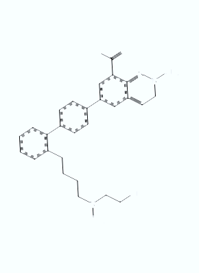 CCCN(C)CCCCc1ccccc1-c1ccc(-c2cc(C(=O)O)c3c(c2)=CCN(C)N=3)cc1